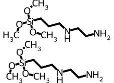 CO[Si](CCCNCCN)(OC)OC.CO[Si](CCCNCCN)(OC)OC